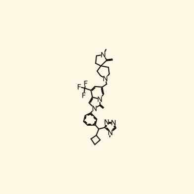 C=C1N2C=C(CN3CCC4(CC3)CCN(C)C4=C)C=C(C(F)(F)F)C2=CN1c1cccc(C(c2nncn2C)C2CCC2)c1